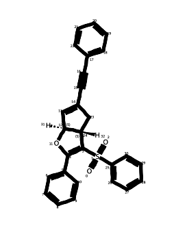 O=S(=O)(C1=C(c2ccccc2)O[C@H]2C=C(C#Cc3ccccc3)C[C@H]12)c1ccccc1